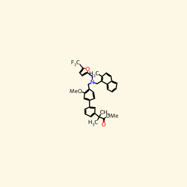 COC(=O)C(C)(C)c1cccc(-c2ccc(CN(Cc3ccc(C(F)(F)F)o3)Cc3c(C)ccc4ccccc34)c(OC)c2)c1